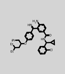 CCC(CC)CC(CC(C)C)Oc1ccc(C(=N)c2cc(C(=O)NC(c3ccccc3Cl)C3CC3)ccc2N)cc1